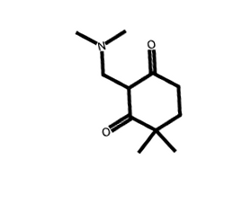 CN(C)CC1C(=O)CCC(C)(C)C1=O